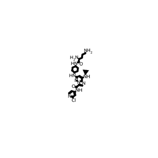 NCCC[C@H](N)C(=O)NC1CCC(Nc2cc(NC3CC3)c3ncc(C(=O)Nc4ccnc(Cl)c4)n3n2)CC1